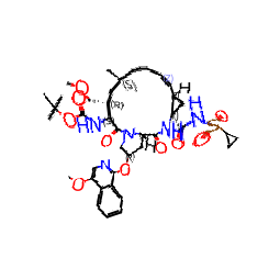 COC[C@@H]1C[C@@H](C)CC/C=C\[C@@H]2C[C@@]2(C(=O)NS(=O)(=O)C2CC2)NC(=O)[C@@H]2C[C@@H](Oc3ncc(OC)c4ccccc34)CN2C(=O)[C@H]1NC(=O)OC(C)(C)C